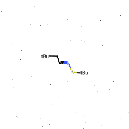 CC(C)(C)CC=NSC(C)(C)C